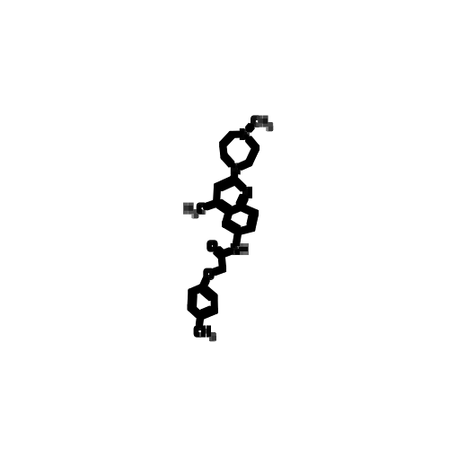 Cc1ccc(OCC(=O)Nc2ccc3nc(N4CCCN(C)CC4)cc(C)c3c2)cc1